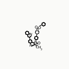 Cn1c(=O)n(-c2ccc(C3CCN(C(=O)OCc4ccccc4)CC3)cc2)c2c3cc(-c4cnc5ccccc5c4)ccc3ncc21